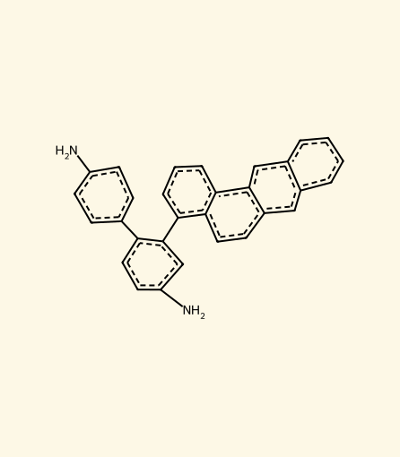 Nc1ccc(-c2ccc(N)cc2-c2cccc3c2ccc2cc4ccccc4cc23)cc1